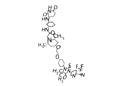 C[C@@H]1CC(OCCO[C@H]2CC[C@H](N3C(=S)N(c4cnc(C#N)c(C(F)(F)F)c4)C(=O)C3(C)C)CC2)C[C@H](C)N1CC(=O)Nc1cccc(NC2CCC(=O)NC2=O)c1